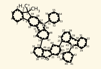 CC1(C)c2ccccc2-c2cc3c4cc(-c5cccc6sc7ccc(-c8cccc9c%10ccccc%10n(-c%10ccccc%10)c89)cc7c56)ccc4n(-c4ccccc4)c3cc21